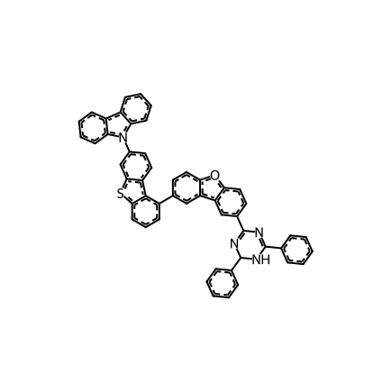 c1ccc(C2=NC(c3ccc4oc5ccc(-c6cccc7sc8cc(-n9c%10ccccc%10c%10ccccc%109)ccc8c67)cc5c4c3)=NC(c3ccccc3)N2)cc1